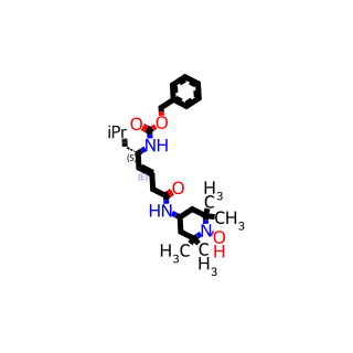 CC(C)C[C@@H](/C=C/CC(=O)NC1CC(C)(C)N(O)C(C)(C)C1)NC(=O)OCc1ccccc1